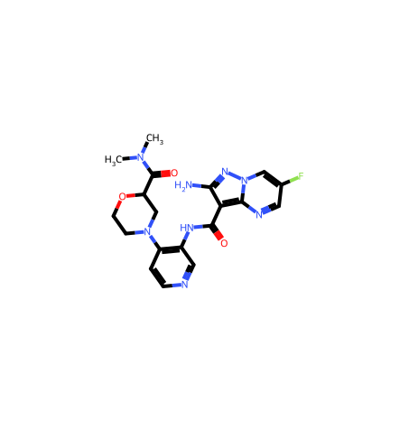 CN(C)C(=O)C1CN(c2ccncc2NC(=O)c2c(N)nn3cc(F)cnc23)CCO1